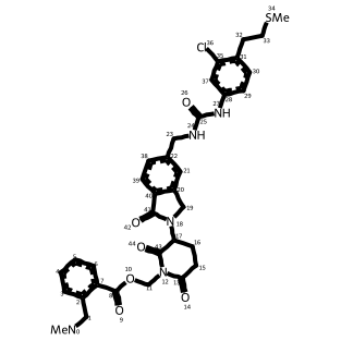 CNCc1ccccc1C(=O)OCN1C(=O)CCC(N2Cc3cc(CNC(=O)Nc4ccc(CCSC)c(Cl)c4)ccc3C2=O)C1=O